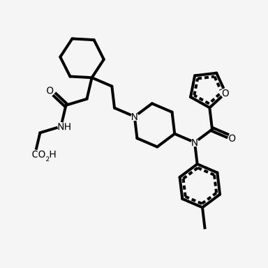 Cc1ccc(N(C(=O)c2ccco2)C2CCN(CCC3(CC(=O)NCC(=O)O)CCCCC3)CC2)cc1